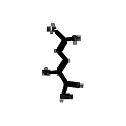 COC(=O)/C(C#N)=C/C=C(\O)C(F)(F)F